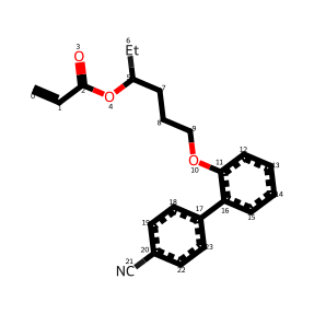 C=CC(=O)OC(CC)CCCOc1ccccc1-c1ccc(C#N)cc1